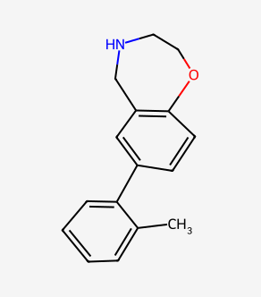 Cc1ccccc1-c1ccc2c(c1)CNCCO2